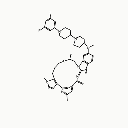 C=C1/N=C2\Nc3ccc(N(C)C4CCN(C5CCN(c6cc(F)cc(F)c6)CC5)CC4)cc3N2C[C@H](C)CCCCc2c(cnn2C)-c2cc1cc(C)n2